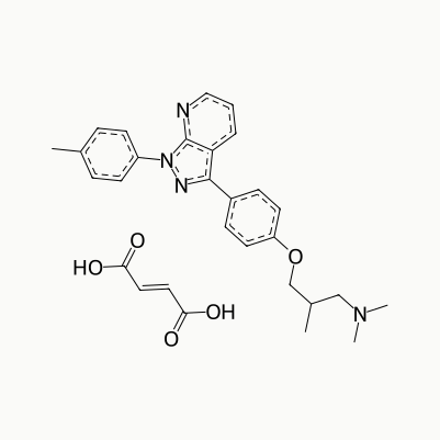 Cc1ccc(-n2nc(-c3ccc(OCC(C)CN(C)C)cc3)c3cccnc32)cc1.O=C(O)C=CC(=O)O